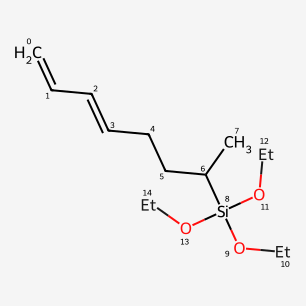 C=CC=CCCC(C)[Si](OCC)(OCC)OCC